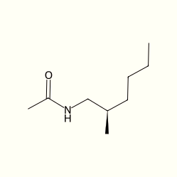 CCCC[C@@H](C)CNC(C)=O